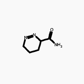 NC(=O)C1CCCN=N1